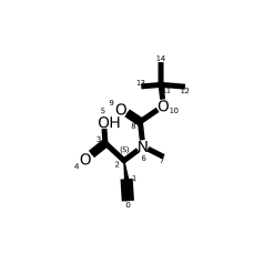 C#C[C@@H](C(=O)O)N(C)C(=O)OC(C)(C)C